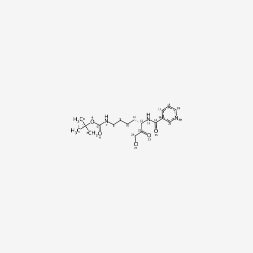 CC(C)(C)OC(=O)NCCCC[C@H](NC(=O)c1cccnc1)C(=O)CCl